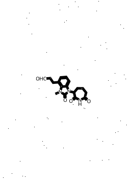 Cn1c(=O)n(C2CCCC(=O)NC2=O)c2cccc(CCC=O)c21